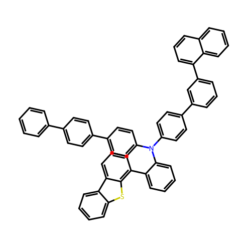 c1ccc(-c2ccc(-c3ccc(N(c4ccc(-c5cccc(-c6cccc7ccccc67)c5)cc4)c4ccccc4-c4cccc5c4sc4ccccc45)cc3)cc2)cc1